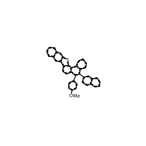 COc1ccc(-c2c(-c3ccc4ccccc4c3)c3ccccc3c3c2ccc2c4cc5ccccc5cc4sc23)cc1